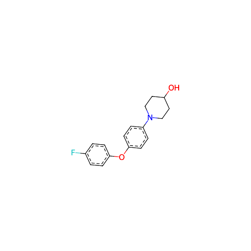 OC1CCN(c2ccc(Oc3ccc(F)cc3)cc2)CC1